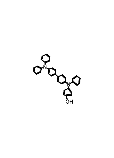 Oc1ccc(N(c2ccccc2)c2ccc(-c3ccc(N(c4ccccc4)c4ccccc4)cc3)cc2)cc1